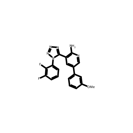 COc1cccc(-c2cnc(N)c(-c3nnnn3-c3cccc(F)c3F)c2)c1